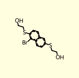 OCCSc1ccc2c(Br)c(SCCO)ccc2c1